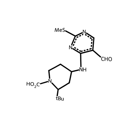 CSc1ncc(C=O)c(NC2CCN(C(=O)O)C(C(C)(C)C)C2)n1